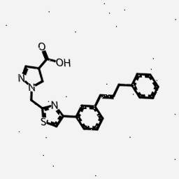 O=C(O)C1C=NN(Cc2nc(-c3cccc(/C=C/Cc4ccccc4)c3)cs2)C1